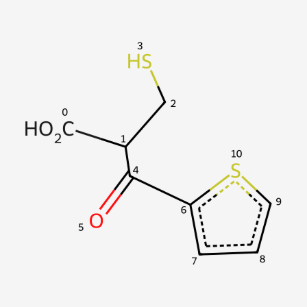 O=C(O)C(CS)C(=O)c1cccs1